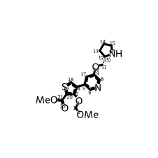 COCOc1c(-c2cncc(OC[C@@H]3CCCN3)c2)csc1C(=O)OC